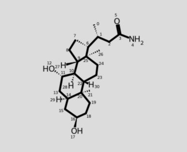 C[C@H](CC(N)=O)[C@H]1CC[C@H]2[C@@H]3[C@@H](O)C[C@@H]4C[C@H](O)CC[C@]4(C)[C@H]3CC[C@]12C